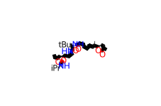 C/C=C\C[C@@H](C/C=C\NC(=O)[C@@H](NC(=O)\C=C/C=C\C(C)=C\[C@H](C)[C@@H]1CC=C(C)C(=O)O1)C(C)(C)C)OC(=O)NC(C)C